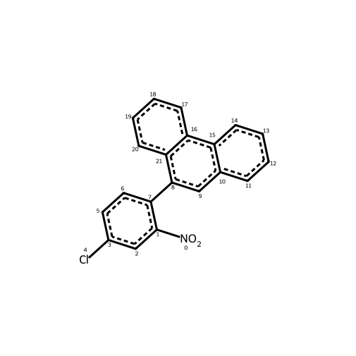 O=[N+]([O-])c1cc(Cl)ccc1-c1cc2ccccc2c2ccccc12